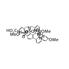 COc1ccc(CN(Cc2ccc(OC)cc2)S(=O)(=O)c2c(S(=O)(=O)C3CN(C(=O)O)C3)ccc(-c3cccnc3N)c2-c2nnnn2Cc2ccc(OC)cc2)cc1